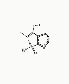 CC=C(CCCCC)c1cccnc1S(N)(=O)=O